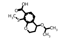 CSc1c(C(=O)O)ccc2c1OCCC2OC(C)C